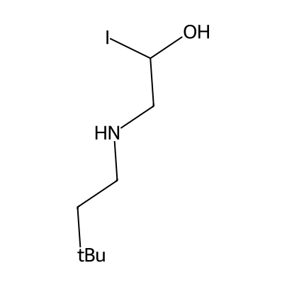 CC(C)(C)CCNCC(O)I